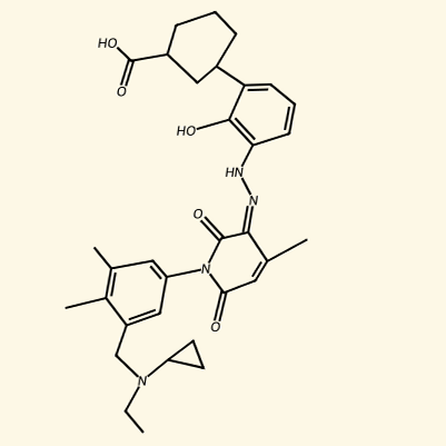 CCN(Cc1cc(N2C(=O)C=C(C)C(=NNc3cccc(C4CCCC(C(=O)O)C4)c3O)C2=O)cc(C)c1C)C1CC1